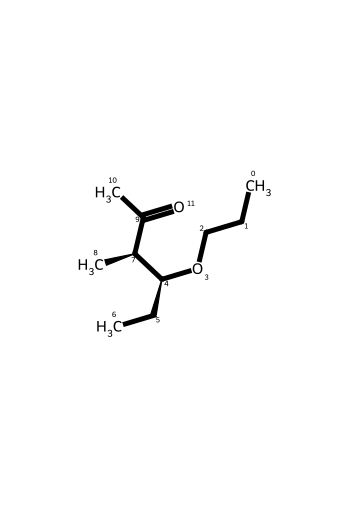 CCCO[C@@H](CC)[C@@H](C)C(C)=O